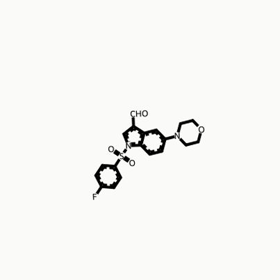 O=Cc1cn(S(=O)(=O)c2ccc(F)cc2)c2ccc(N3CCOCC3)cc12